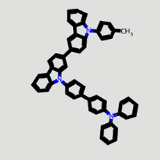 Cc1ccc(-n2c3ccccc3c3cc(-c4ccc5c6ccccc6n(-c6ccc(-c7ccc(N(c8ccccc8)c8ccccc8)cc7)cc6)c5c4)ccc32)cc1